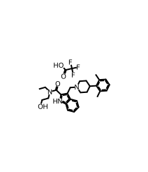 CCN(CCO)C(=O)c1[nH]c2ccccc2c1CN1CCC(c2c(C)cccc2C)CC1.O=C(O)C(F)(F)F